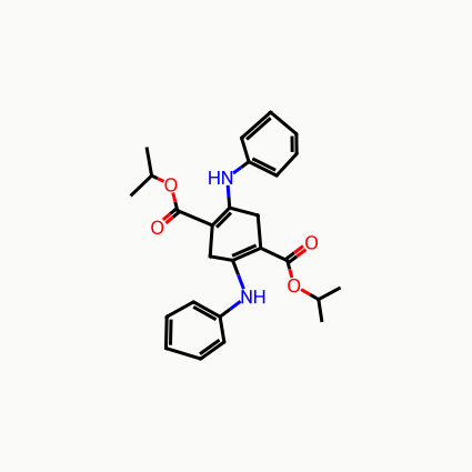 CC(C)OC(=O)C1=C(Nc2ccccc2)CC(C(=O)OC(C)C)=C(Nc2ccccc2)C1